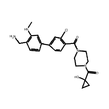 CNc1cc(-c2ccc(C(=O)N3CCN(C(=O)C4(O)CC4)CC3)c(Cl)c2)ccc1CN